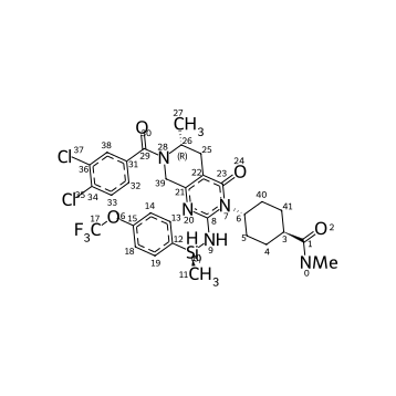 CNC(=O)[C@H]1CC[C@H](n2c(N[Si@@H](C)c3ccc(OC(F)(F)F)cc3)nc3c(c2=O)C[C@@H](C)N(C(=O)c2ccc(Cl)c(Cl)c2)C3)CC1